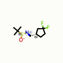 CC(C)(C)[S@+]([O-])/N=C/[C@H]1CCC(F)(F)C1